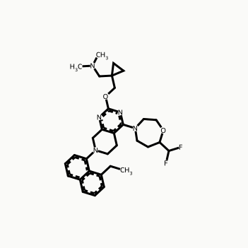 CCc1cccc2cccc(N3CCc4c(nc(OCC5(CN(C)C)CC5)nc4N4CCOC(C(F)F)CC4)C3)c12